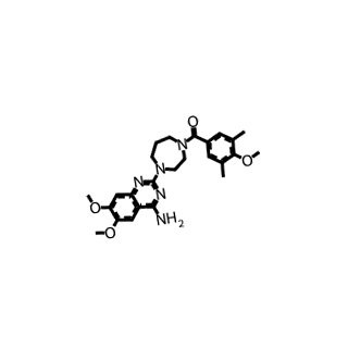 COc1cc2nc(N3CCCN(C(=O)c4cc(C)c(OC)c(C)c4)CC3)nc(N)c2cc1OC